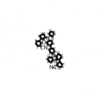 N#Cc1cccc2c1oc1c(N(c3ccccc3)c3ccc(-c4ccc(N(c5ccccc5)c5cccc6c5oc5c(C#N)cccc56)cc4)cc3)cccc12